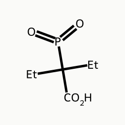 CCC(CC)(C(=O)O)P(=O)=O